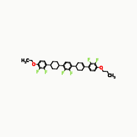 CCCOc1ccc(C2=CCC(c3ccc(C4CCC(c5ccc(OCC)c(F)c5F)CC4)c(F)c3F)CC2)c(F)c1F